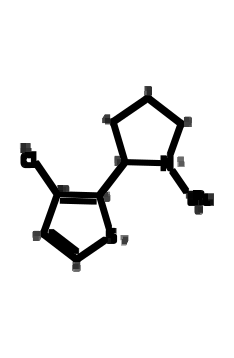 CC(C)(C)N1CCCC1c1sccc1Cl